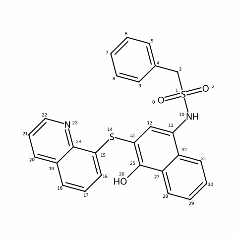 O=S(=O)(Cc1ccccc1)Nc1cc(Sc2cccc3cccnc23)c(O)c2ccccc12